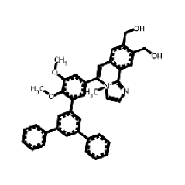 COc1cc(C2=Cc3cc(CO)c(CO)cc3C3=NC=C[N+]23C)cc(-c2cc(-c3ccccc3)cc(-c3ccccc3)c2)c1OC